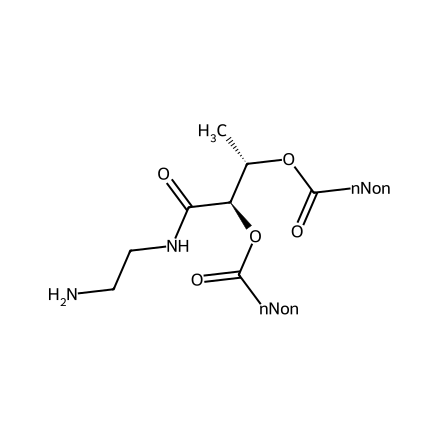 CCCCCCCCCC(=O)O[C@@H](C)[C@@H](OC(=O)CCCCCCCCC)C(=O)NCCN